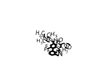 C=CC(=O)N1[C@H](C)CN(c2nc(=O)n3c4c(c(-c5cccc6cnn(C)c56)c(C(F)(F)F)cc24)SCC3CN2CCOCC2)C[C@@H]1C